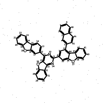 c1ccc2cc(-c3cc(-c4nc(-c5ccc6c(c5)oc5ccccc56)c5oc6ccccc6c5n4)cc4oc5ccccc5c34)ccc2c1